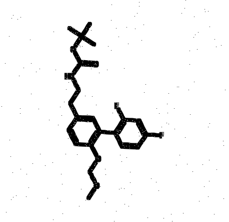 COCOc1ccc(CCNC(=O)OC(C)(C)C)cc1-c1ccc(F)cc1F